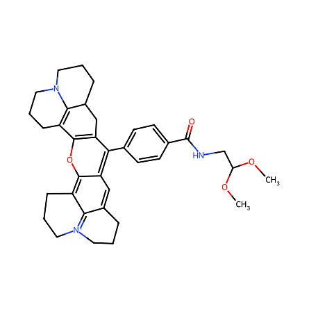 COC(CNC(=O)c1ccc(C2=c3cc4c5c(c3OC3=C2CC2CCCN6CCCC3=C26)CCC[N+]=5CCC4)cc1)OC